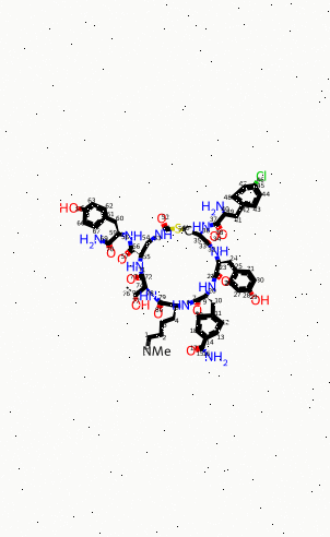 CNCCCC[C@@H]1NC(=O)[C@@H](Cc2ccc(C(N)=O)cc2)NC(=O)[C@H](Cc2ccc(O)cc2)NC(=O)[C@H](NC(=O)[C@@H](N)Cc2ccc(Cl)cc2)CSC(=O)NC[C@@H](C(=O)N[C@H](Cc2ccc(O)cc2)C(N)=O)NC(=O)[C@H]([C@@H](C)O)NC1=O